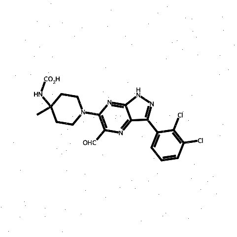 CC1(NC(=O)O)CCN(c2nc3[nH]nc(-c4cccc(Cl)c4Cl)c3nc2C=O)CC1